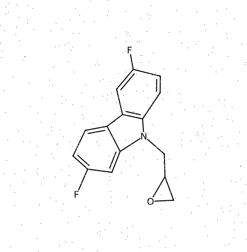 Fc1ccc2c(c1)c1ccc(F)cc1n2CC1CO1